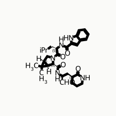 CC(C)C[C@H](NC(=O)c1cc2ccccc2[nH]1)C(=O)N1C[C@H]2[C@@H]([C@H]1C(=O)N[C@H](C=O)C[C@@H]1CCCNC1=O)C2(C)C